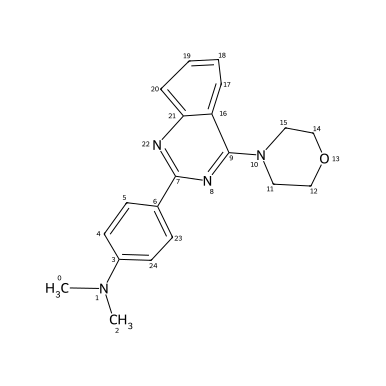 CN(C)c1ccc(-c2nc(N3CCOCC3)c3ccccc3n2)cc1